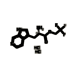 Cl.Cl.N[C@@H](Cc1c[nH]c2cnccc12)C(=O)OCC(F)(F)F